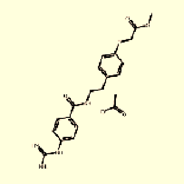 CC(=O)O.COC(=O)COc1ccc(CCNC(=O)c2ccc(NC(=N)N)cc2)cc1